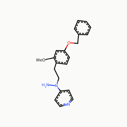 COc1cc(OCc2ccccc2)ccc1CCN(N)c1ccncc1